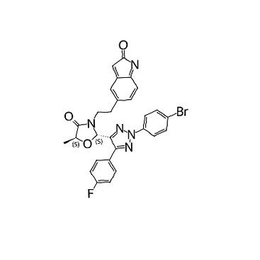 C[C@@H]1O[C@@H](c2nn(-c3ccc(Br)cc3)nc2-c2ccc(F)cc2)N(CCc2ccc3c(c2)=CC(=O)N=3)C1=O